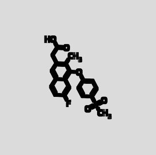 Cc1c(CC(=O)O)cc2ccc(F)cc2c1Oc1ccc(S(C)(=O)=O)cc1